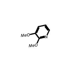 COc1c[c]cnc1OC